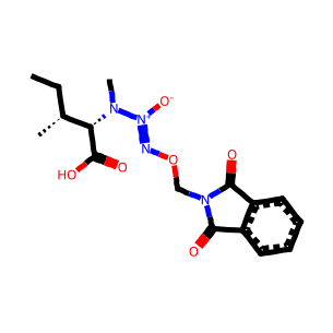 CC[C@@H](C)[C@@H](C(=O)O)N(C)/[N+]([O-])=N/OCN1C(=O)c2ccccc2C1=O